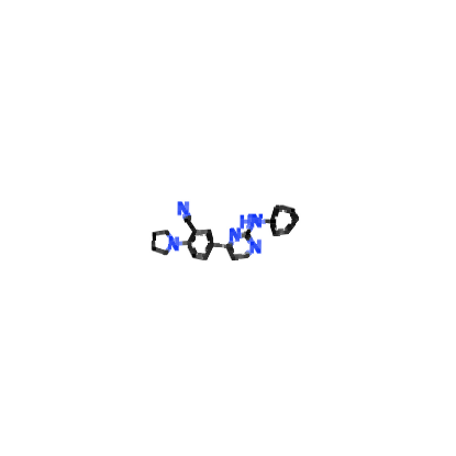 N#Cc1cc(-c2ccnc(Nc3ccccc3)n2)ccc1N1CCCC1